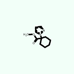 COC(=O)C1(n2cccn2)CCCCC1